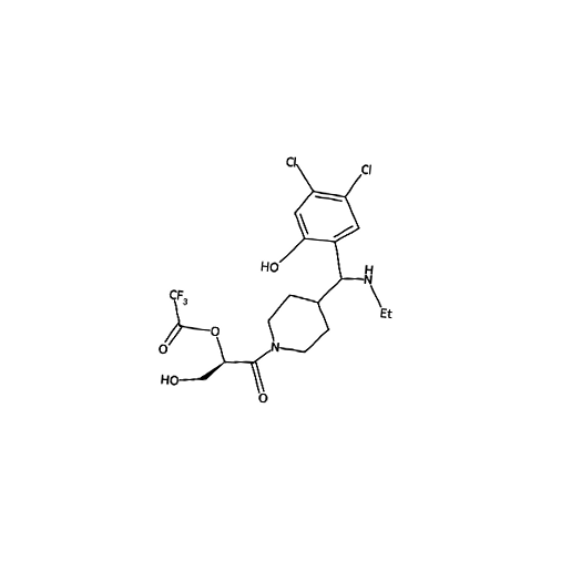 CCNC(c1cc(Cl)c(Cl)cc1O)C1CCN(C(=O)[C@@H](CO)OC(=O)C(F)(F)F)CC1